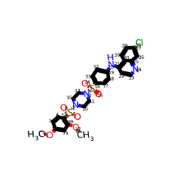 COc1ccc(S(=O)(=O)N2CCN(S(=O)(=O)c3ccc(Nc4ccnc5cc(Cl)ccc45)cc3)CC2)c(OC)c1